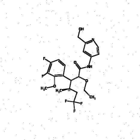 CCOC(C(=O)Nc1ccnc(CO)c1)C(c1ccc(F)c(F)c1OC)[C@H](C)CC(F)(F)F